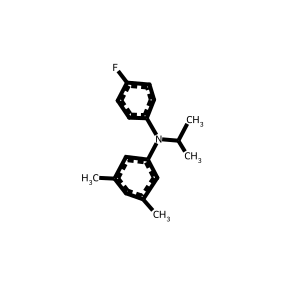 Cc1cc(C)cc(N(c2ccc(F)cc2)C(C)C)c1